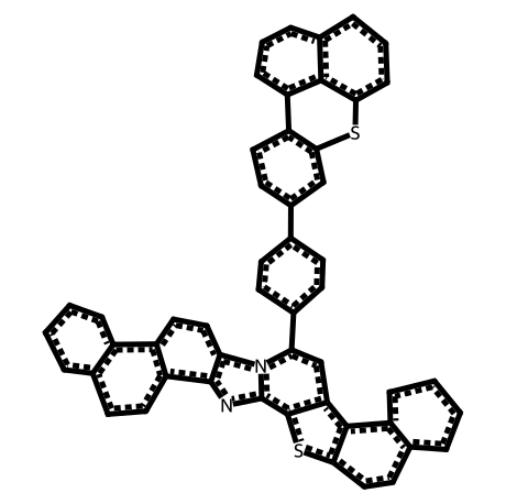 c1cc2c3c(cccc3c1)-c1ccc(-c3ccc(-c4cc5c(sc6ccc7ccccc7c65)c5nc6c7ccc8ccccc8c7ccc6n45)cc3)cc1S2